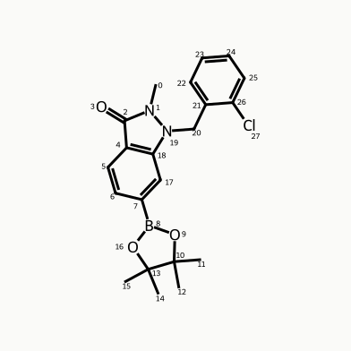 Cn1c(=O)c2ccc(B3OC(C)(C)C(C)(C)O3)cc2n1Cc1ccccc1Cl